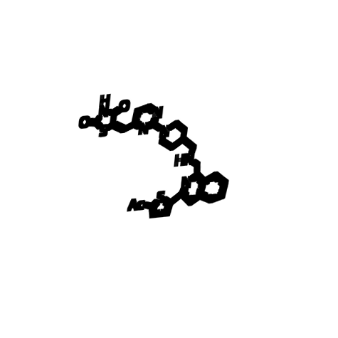 CC(=O)c1ccc(-c2cc3ccccc3c(CNCC3CCN(c4nccc(/C=C5/SC(=O)NC5=O)n4)CC3)n2)s1